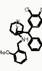 COc1ccccc1CNC1(C(c2ccccc2)c2ccc(Cl)c(Cl)c2)CN2CCC1CC2